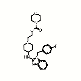 O=C(OCCN1CCC(Nc2nc3ccccc3n2Cc2ccc(F)cc2)CC1)N1CCOCC1